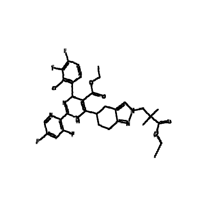 CCOC(=O)C1=C(C2CCc3nn(CC(C)(C)C(=O)OCC)cc3C2)NC(c2ncc(F)cc2F)=NC1c1ccc(F)c(F)c1Cl